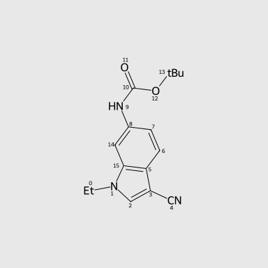 CCn1cc(C#N)c2ccc(NC(=O)OC(C)(C)C)cc21